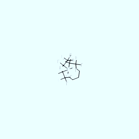 FC(F)(F)C(F)(F)P1(C(F)(F)C(F)(F)F)(C(F)(F)C(F)(F)F)OCCCO1